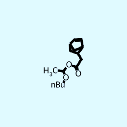 CCCCOC(C)OC(=O)CC1CC2C=CC1C2